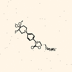 COC1(OC)CCN(c2ccc(N3C[C@H](CN=[N+]=[N-])OC3=O)cc2)CC1F